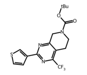 CC(C)(C)OC(=O)N1CCc2c(nc(-c3ccsc3)nc2C(F)(F)F)C1